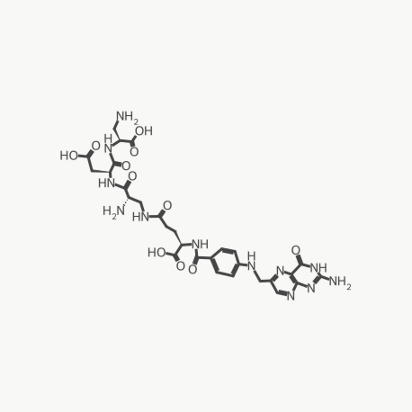 NC[C@H](NC(=O)[C@H](CC(=O)O)NC(=O)[C@@H](N)CNC(=O)CC[C@@H](NC(=O)c1ccc(NCc2cnc3nc(N)[nH]c(=O)c3n2)cc1)C(=O)O)C(=O)O